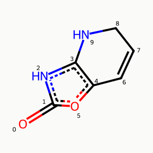 O=c1[nH]c2c(o1)C=CCN2